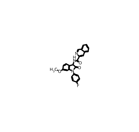 COc1ccc2c(c1)N(c1ccc(F)cc1)C(=O)C2NC(=O)c1cc2ccccc2cn1